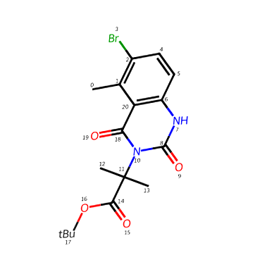 Cc1c(Br)ccc2[nH]c(=O)n(C(C)(C)C(=O)OC(C)(C)C)c(=O)c12